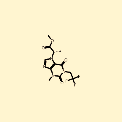 COC(=O)[C@H](C)n1cnc2c1c(=O)n(CC(F)(F)F)c(=O)n2C